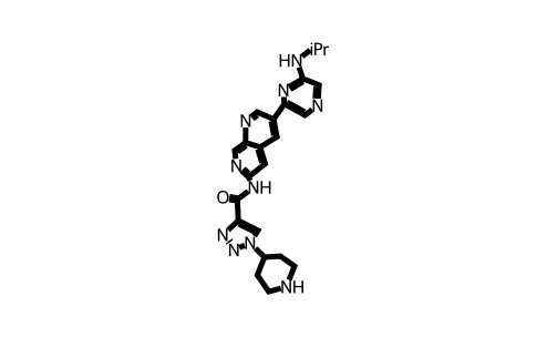 CC(C)Nc1cncc(-c2cnc3cnc(NC(=O)c4cn(C5CCNCC5)nn4)cc3c2)n1